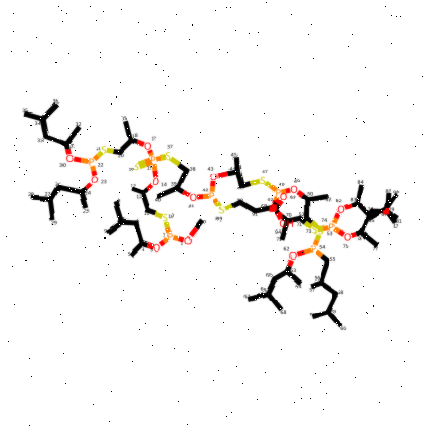 COP(OC(C)CC(C)C)SCC(C)OP(=S)(OC(C)CSP(OC(C)CC(C)C)OC(C)CC(C)C)SCC(C)OP(OC(C)CSP(OC(C)CSP(CC(C)CC(C)C)OC(C)CC(C)C)OC(C)CSP(OC(C)CC(C)C)OC(C)CC(C)C)SCCC(=O)O